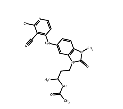 CC(=O)NC(C)CCn1c(=O)n(C)c2ccc(Nc3ccnc(Cl)c3C#N)cc21